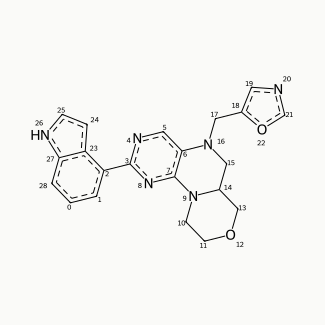 c1cc(-c2ncc3c(n2)N2CCOCC2CN3Cc2cnco2)c2cc[nH]c2c1